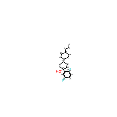 CCCC1CCC([C@H]2CC[C@](O)(c3cc(F)ccc3F)CC2)CC1